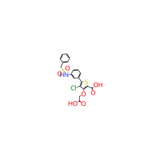 O=C(O)COc1c(C(=O)O)sc(-c2cccc(NS(=O)(=O)Cc3ccccc3)c2)c1Cl